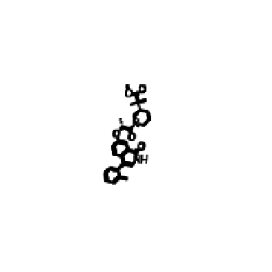 COC(=O)C(C)(C)[C@H]1CCCN(C(=O)[C@@H](C)Oc2ccc3c(-c4ccccc4C)c[nH]c(=O)c3c2)C1